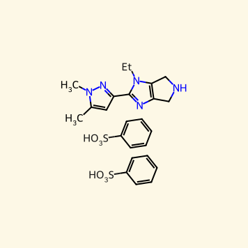 CCn1c(-c2cc(C)n(C)n2)nc2c1CNC2.O=S(=O)(O)c1ccccc1.O=S(=O)(O)c1ccccc1